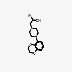 CCC(O)CN1CCN(c2cccc3c2OCCO3)CC1